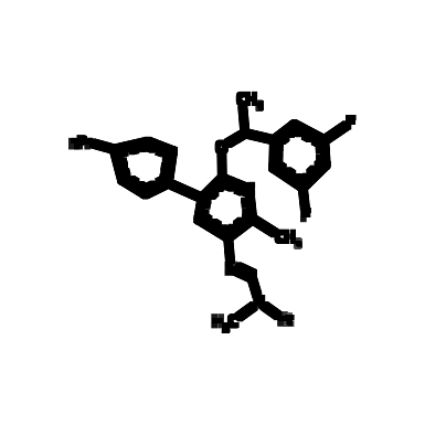 CCCc1ccc(-c2cc(/N=C/N(C)CC)c(C)nc2OC(C)c2cc(F)cc(F)c2)cc1